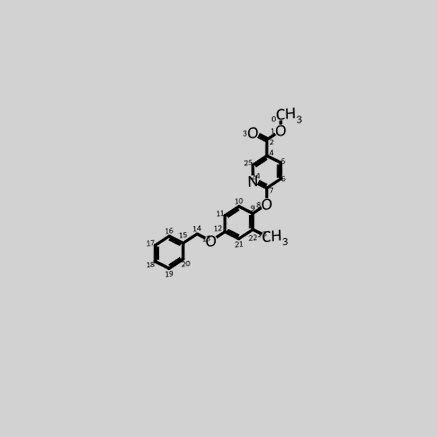 COC(=O)c1ccc(Oc2ccc(OCc3ccccc3)cc2C)nc1